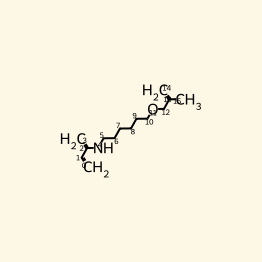 C=CC(=C)NCCCCCCOCC(=C)C